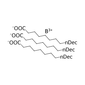 CCCCCCCCCCCCCCCCCC(=O)[O-].CCCCCCCCCCCCCCCCCC(=O)[O-].CCCCCCCCCCCCCCCCCC(=O)[O-].[B+3]